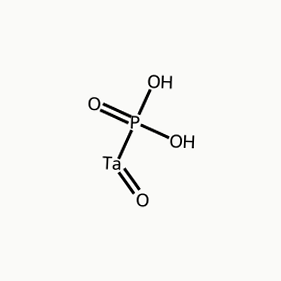 [O]=[Ta][P](=O)(O)O